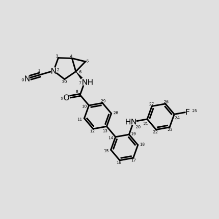 N#CN1CC2C[C@]2(NC(=O)c2ccc(-c3ccccc3Nc3ccc(F)cc3)cc2)C1